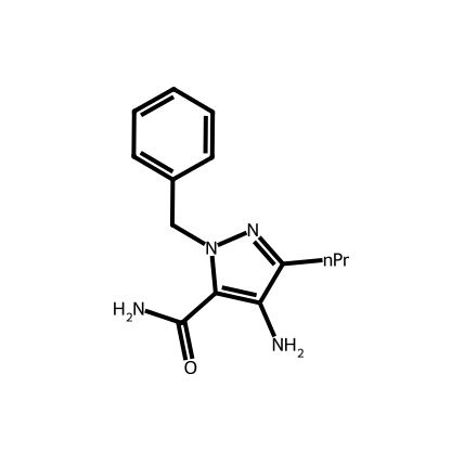 CCCc1nn(Cc2ccccc2)c(C(N)=O)c1N